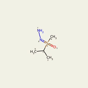 CC(C)S(C)(=O)=NN